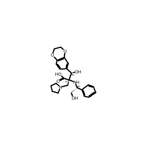 O=C(O)[C@@](CN1CCCC1)(N[C@@H](CO)c1ccccc1)[C@H](O)c1ccc2c(c1)OCCO2